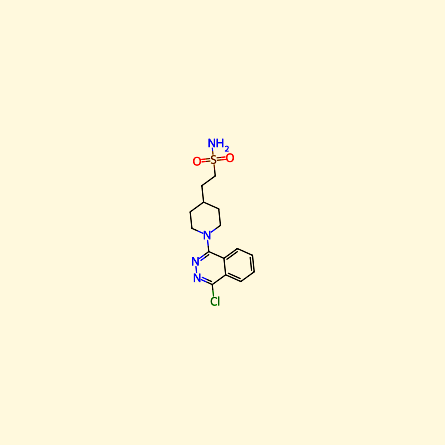 NS(=O)(=O)CCC1CCN(c2nnc(Cl)c3ccccc23)CC1